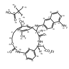 CCOC(=O)C[C@H]1NC(=O)[C@H](Nc2ccc3c(N)nccc3c2)c2cc(C)c(c(C)c2)CCOC(=O)Nc2cccc1c2.O=C(O)C(F)(F)F